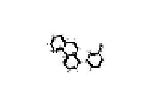 Brc1cccc(-c2cccc3c2ccc2cccnc23)c1